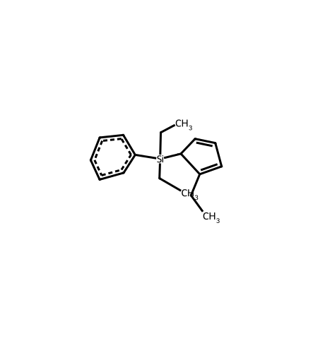 CCC1=CC=C[C]1[Si](CC)(CC)c1ccccc1